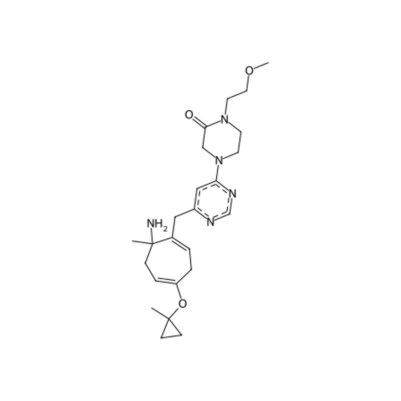 COCCN1CCN(c2cc(CC3=CCC(OC4(C)CC4)=CCC3(C)N)ncn2)CC1=O